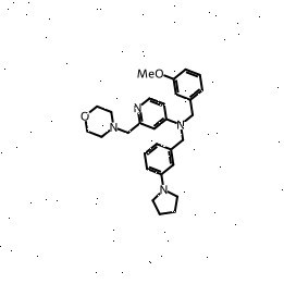 COc1cccc(CN(Cc2cccc(N3CCCC3)c2)c2ccnc(CN3CCOCC3)c2)c1